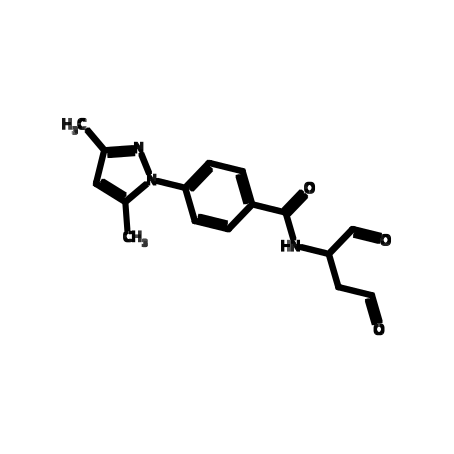 Cc1cc(C)n(-c2ccc(C(=O)NC(C=O)CC=O)cc2)n1